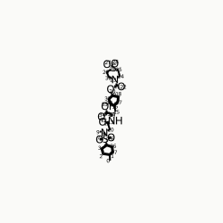 Cc1ccc(S(=O)(=O)N(C)CC(=O)N[C@@H](Cc2ccc(OC(=O)N3CCS(=O)(=O)CC3)cc2)C(=O)O)cc1